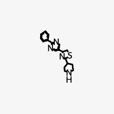 c1ccc(-c2ncc(C3CSC(C4CCNCC4)=N3)cn2)cc1